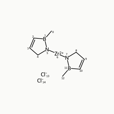 CB1C=CC[N]1[Zr+2][N]1CC=CB1C.[Cl-].[Cl-]